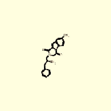 Cc1ccc2c(c1)cc1n2C(=O)CN(C[C@@H](N)Cc2ccccc2)C1=O